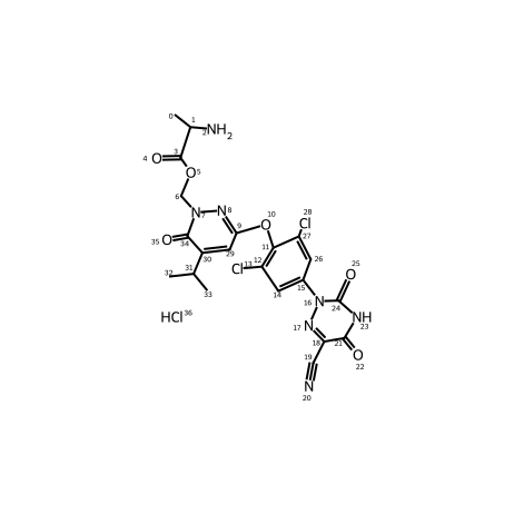 CC(N)C(=O)OCn1nc(Oc2c(Cl)cc(-n3nc(C#N)c(=O)[nH]c3=O)cc2Cl)cc(C(C)C)c1=O.Cl